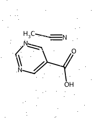 CC#N.O=C(O)c1cncnc1